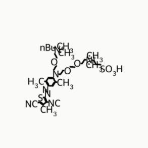 [C-]#[N+]c1c(/N=N/c2cc(C)c(N(CCOCCOCC[N+](C)(C)CCCS(=O)(=O)O)CCOCC[N+](C)(C)CCCC)cc2C)sc(C#N)c1C